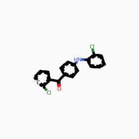 O=C(c1ccc(Nc2ccccc2Cl)cc1)c1ccccc1Cl